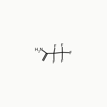 C=C(N)C(F)(F)C(F)(F)F